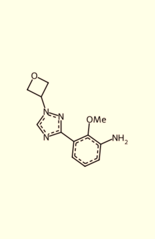 COc1c(N)cccc1-c1ncn(C2COC2)n1